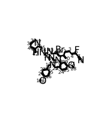 C=C(/C=C\C=C(/F)C#N)c1nc(N(Cc2ccc(OC)cc2)Cc2ccc(OC)cc2)n2nc(NCc3ncccc3C)nc2c1Br